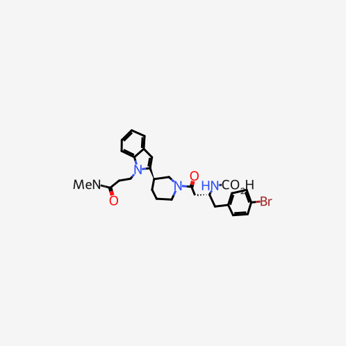 CNC(=O)CCn1c([C@@H]2CCCN(C(=O)C[C@@H](Cc3ccc(Br)cc3)NC(=O)O)C2)cc2ccccc21